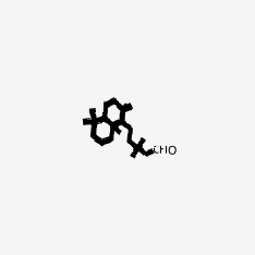 C=C1CCC2C(C)(C)CCCC2(C)C1CCC(C)(C)CC=O